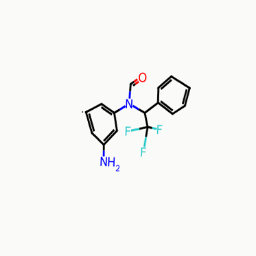 Nc1c[c]cc(N(C=O)C(c2ccccc2)C(F)(F)F)c1